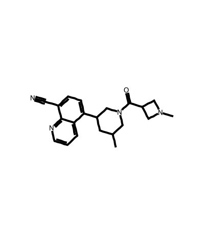 CC1CC(c2ccc(C#N)c3ncccc23)CN(C(=O)C2CN(C)C2)C1